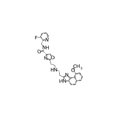 COc1cccc2ccc3[nH]c(CCNCCc4nc(C(=O)NCc5ncccc5F)co4)nc3c12